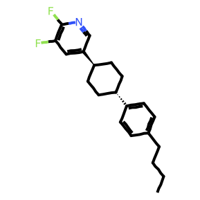 CCCCc1ccc([C@H]2CC[C@H](c3cnc(F)c(F)c3)CC2)cc1